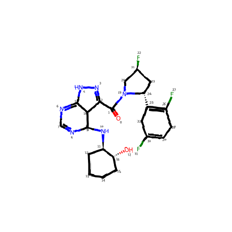 O=C(C1=NNC2=NC=NC(N[C@@H]3CCCC[C@H]3O)C21)N1C[C@@H](F)C[C@@H]1C1=C(F)CC=C(F)C1